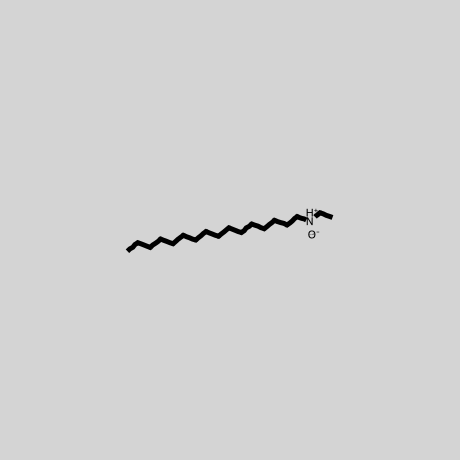 CCCCCCCCCCCCCCCC[NH+]([O-])CC